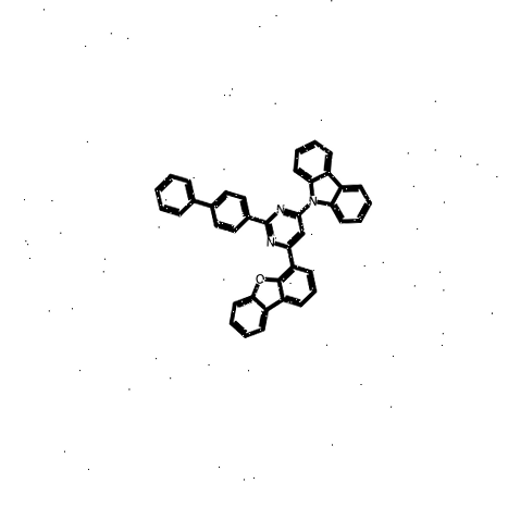 c1ccc(-c2ccc(-c3nc(-c4cccc5c4oc4ccccc45)cc(-n4c5ccccc5c5ccccc54)n3)cc2)cc1